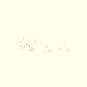 CN(C)CC(=O)OC[C@H]1CN(c2ccc3cc(-c4ccccc4C(F)(F)F)[nH]c(=O)c3c2)C(=O)O1